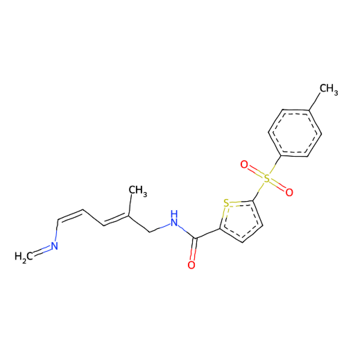 C=N/C=C\C=C(/C)CNC(=O)c1ccc(S(=O)(=O)c2ccc(C)cc2)s1